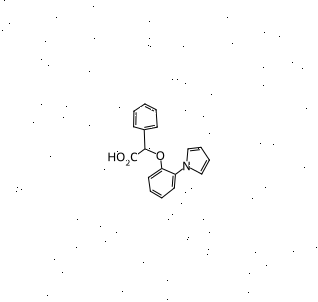 O=C(O)C(Oc1ccccc1-n1cccc1)c1ccccc1